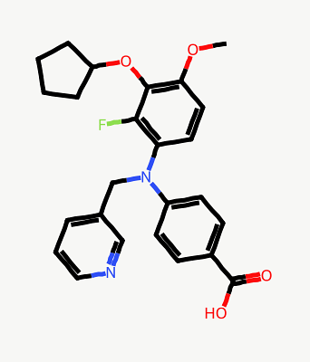 COc1ccc(N(Cc2cccnc2)c2ccc(C(=O)O)cc2)c(F)c1OC1CCCC1